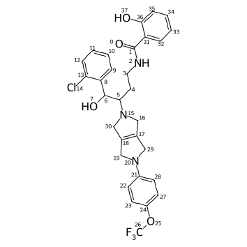 O=C(NCCC(C(O)c1ccccc1Cl)N1CC2=C(CN(c3ccc(OC(F)(F)F)cc3)C2)C1)c1ccccc1O